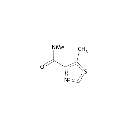 CNC(=O)c1ncsc1C